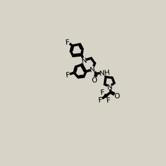 O=C(N[C@@H]1CCN(C(=O)C(F)(F)F)C1)N1CCN(c2ccc(F)cc2)c2cc(F)ccc21